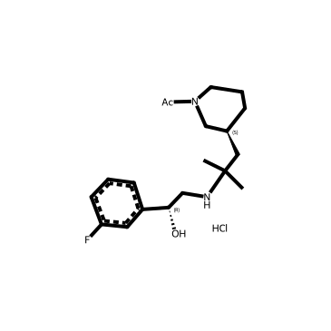 CC(=O)N1CCC[C@@H](CC(C)(C)NC[C@H](O)c2cccc(F)c2)C1.Cl